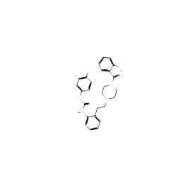 CN(C(=O)Nc1ccc(F)cc1)c1ccccc1CCN1CCN(c2nsc3ccccc23)CC1